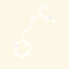 CC(C)SCCc1ccccn1